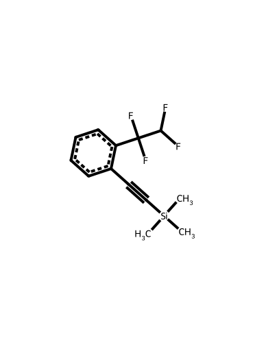 C[Si](C)(C)C#Cc1ccccc1C(F)(F)C(F)F